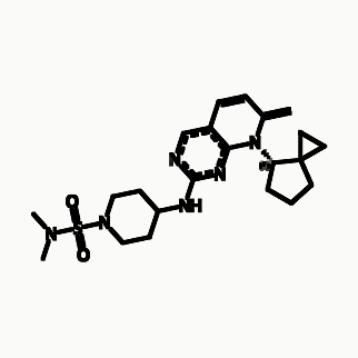 C=C1C=Cc2cnc(NC3CCN(S(=O)(=O)N(C)C)CC3)nc2N1[C@H]1CCCC12CC2